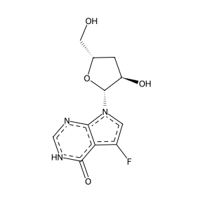 O=c1[nH]cnc2c1c(F)cn2[C@@H]1O[C@H](CO)C[C@H]1O